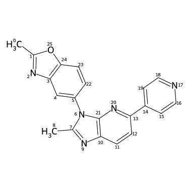 Cc1nc2cc(-n3c(C)nc4ccc(-c5ccncc5)nc43)ccc2o1